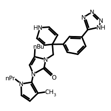 CCCCc1cn(-c2c(C)ccn2CCC)c(=O)n1CC1(c2cccc(-c3nnn[nH]3)c2)C=CNC=C1